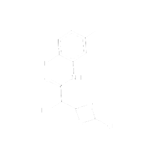 CC1OC(C(C)C(=O)Nc2cc(F)ccc2F)O1